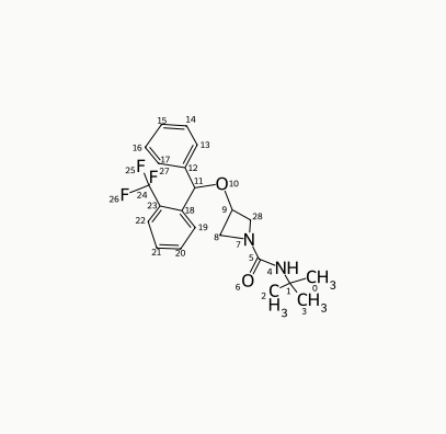 CC(C)(C)NC(=O)N1CC(OC(c2ccccc2)c2ccccc2C(F)(F)F)C1